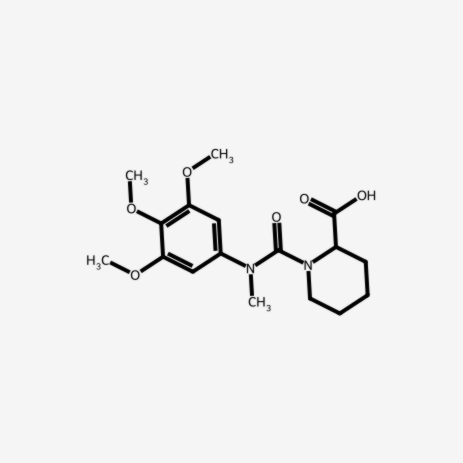 COc1cc(N(C)C(=O)N2CCCCC2C(=O)O)cc(OC)c1OC